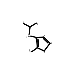 CC(C)OC1=[C]([Ti])CC=C1